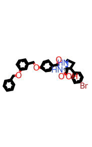 O=C(N[C@]1(C(=O)O)NCCC1c1ccc(Br)cc1)c1ccc(OCc2cccc(OCc3ccccc3)c2)cc1